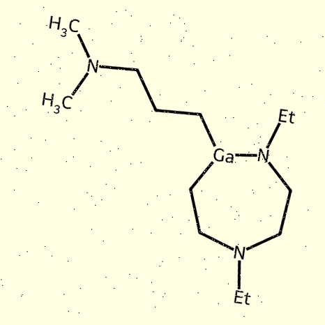 CCN1CC[N](CC)[Ga]([CH2]CCN(C)C)[CH2]C1